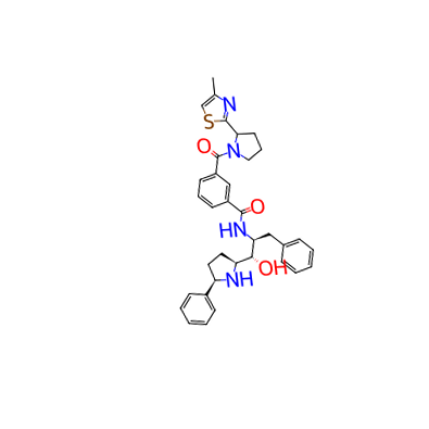 Cc1csc(C2CCCN2C(=O)c2cccc(C(=O)N[C@@H](Cc3ccccc3)[C@H](O)[C@@H]3CC[C@H](c4ccccc4)N3)c2)n1